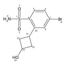 NS(=O)(=O)c1ccc(Br)cc1C1CC(O)C1